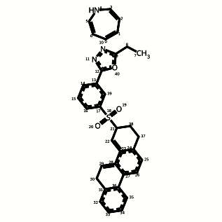 C1=CC=CNC=C1.CCc1nnc(-c2cccc(S(=O)(=O)C3C=c4c(ccc5c4=CCc4ccccc4-5)CC3)c2)o1